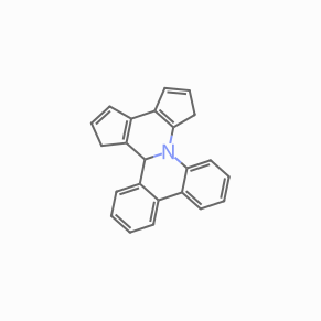 C1=CC2=C(C1)C1c3ccccc3-c3ccccc3N1C1=C2C=CC1